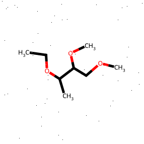 CCOC(C)C(COC)OC